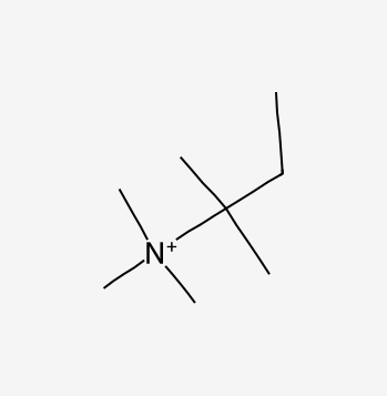 CCC(C)(C)[N+](C)(C)C